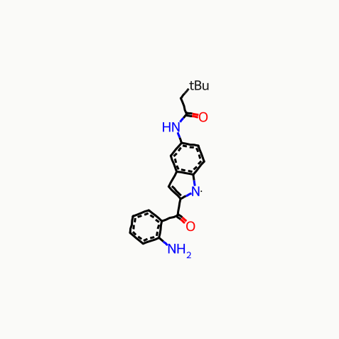 CC(C)(C)CC(=O)Nc1ccc2c(c1)C=C(C(=O)c1ccccc1N)[N]2